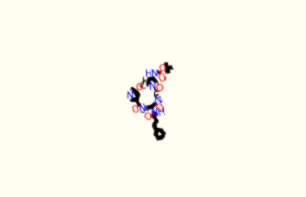 CN1C[C@H](NC(=O)CCc2ccccc2)C(=O)N(C)CC(=O)N2C[C@@H](NC(=O)OC(C)(C)C)C[C@H]2COc2cncc(c2)C1=O